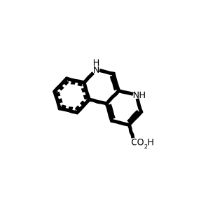 O=C(O)C1=CNC2=CNc3ccccc3C2=C1